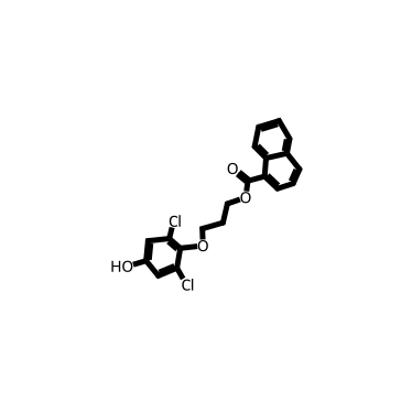 O=C(OCCCOc1c(Cl)cc(O)cc1Cl)c1cccc2ccccc12